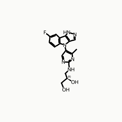 Cc1nc(NC[C@@H](O)CO)ncc1-n1c2ccc(F)cc2c2[nH]ncc21